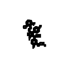 COc1cc(C(O)c2c(I)nc(SCc3c(F)cccc3Cl)n2-c2ccc(F)cc2)ccc1F